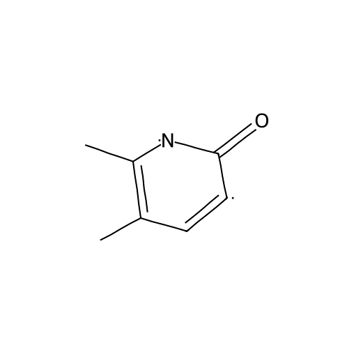 CC1=C(C)[N]C(=O)[C]=C1